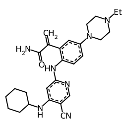 C=C(C(N)=O)c1cc(N2CCN(CC)CC2)ccc1Nc1cc(NC2CCCCC2)c(C#N)cn1